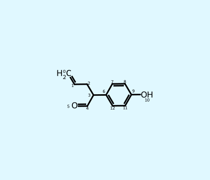 C=CCC(C=O)c1ccc(O)cc1